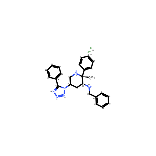 CO[C@]1(c2ccccc2)NCC(n2nnnc2-c2ccccc2)C[C@@H]1NCc1ccccc1.Cl.Cl